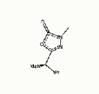 CN[C@@H](c1nn(C)c(=O)o1)C(C)C